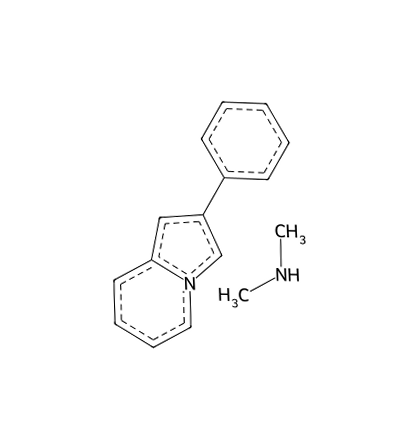 CNC.c1ccc(-c2cc3ccccn3c2)cc1